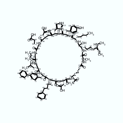 CCCCC[C@@H]1NC(O)[C@H](CCCN/C(=N\C)NC)NC(=O)[C@H](C)NC(=O)CSC[C@@H](C(N)=O)NC(=O)[C@H](CC(=O)O)NC(=O)[C@H](CCCCc2ccccc2)NC(=O)[C@H](Cc2ccc(-c3ccccc3)cc2)NC(=O)[C@H](CC(C)C)NC(=O)[C@H](C(C)C)NC(=O)[C@H](CCC(=O)O)NC(=O)[C@H](CC(=O)O)CC(=O)[C@H](Cc2c[nH]cn2)NC(=O)[C@H](Cc2ccc(O)cc2)NC1=O